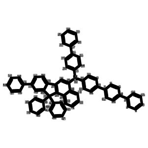 c1ccc(-c2ccc(-c3ccc(N(c4ccc(-c5ccccc5)cc4)c4cc5c(c6ccccc46)C(c4ccccc4)(c4ccccc4)c4cc(-c6ccccc6)ccc4-5)cc3)cc2)cc1